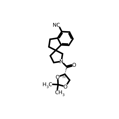 CC1(C)OC[C@@H](C(=O)N2CCC3(CCc4c(C#N)cccc43)C2)O1